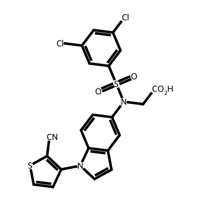 N#Cc1sccc1-n1ccc2cc(N(CC(=O)O)S(=O)(=O)c3cc(Cl)cc(Cl)c3)ccc21